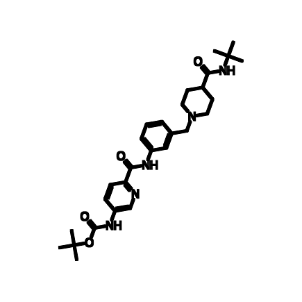 CC(C)(C)NC(=O)C1CCN(Cc2cccc(NC(=O)c3ccc(NC(=O)OC(C)(C)C)cn3)c2)CC1